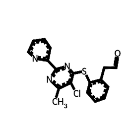 Cc1nc(-c2ccccn2)nc(Sc2ccccc2CC=O)c1Cl